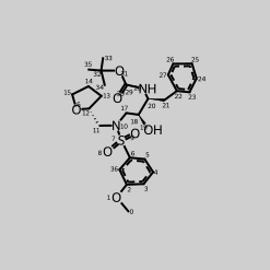 COc1cccc(S(=O)(=O)N(C[C@H]2CCCO2)C[C@H](O)[C@H](Cc2ccccc2)NC(=O)OC(C)(C)C)c1